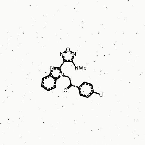 CNc1nonc1-c1nc2ccccc2n1CC(=O)c1ccc(Cl)cc1